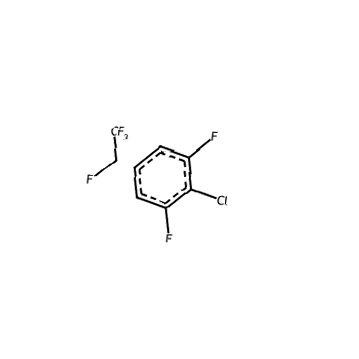 FCC(F)(F)F.Fc1cccc(F)c1Cl